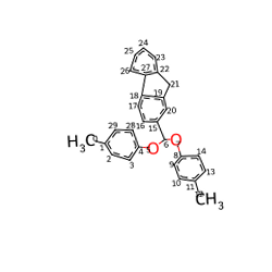 Cc1ccc(OC(Oc2ccc(C)cc2)c2ccc3c(c2)Cc2ccccc2-3)cc1